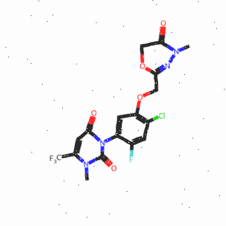 CN1N=C(COc2cc(-n3c(=O)cc(C(F)(F)F)n(C)c3=O)c(F)cc2Cl)OCC1=O